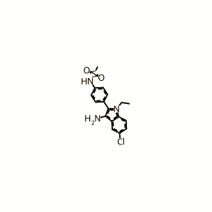 CCn1c(-c2ccc(NS(C)(=O)=O)cc2)c(N)c2cc(Cl)ccc21